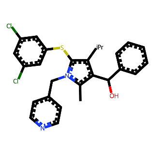 Cc1c(C(O)c2ccccc2)c(C(C)C)c(Sc2cc(Cl)cc(Cl)c2)n1Cc1ccncc1